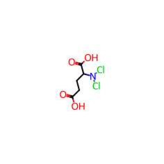 O=C(O)CCC(C(=O)O)N(Cl)Cl